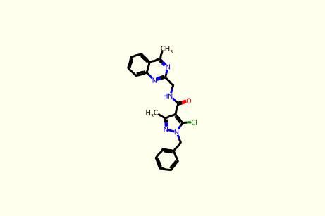 Cc1nn(Cc2ccccc2)c(Cl)c1C(=O)NCc1nc(C)c2ccccc2n1